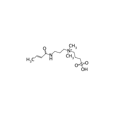 CC=CC(=O)NCCC[N+](C)(C)CCCS(=O)(=O)O